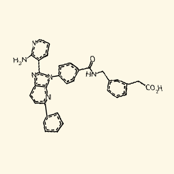 Nc1ncccc1-c1nc2ccc(-c3ccccc3)nc2n1-c1ccc(C(=O)NCc2cccc(CC(=O)O)c2)cc1